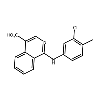 Cc1ccc(Nc2ncc(C(=O)O)c3ccccc23)cc1Cl